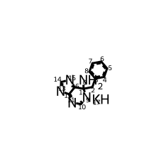 NC1(Cc2ccccc2)N=CN=C2N=CN=C21.[KH]